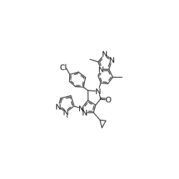 Cc1cc(N2C(=O)c3c(C4CC4)nn(-c4ccnn4C)c3C2c2ccc(Cl)cc2)cn2c(C)nnc12